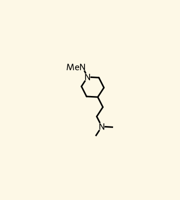 CNN1CCC(CCN(C)C)CC1